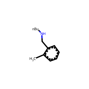 CCCCNCc1ccccc1C